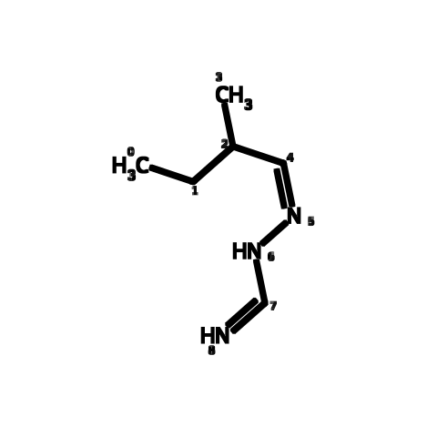 CCC(C)/C=N\NC=N